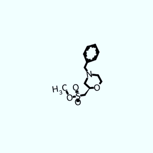 COS(=O)(=O)C[C@H]1CN(Cc2ccccc2)CCO1